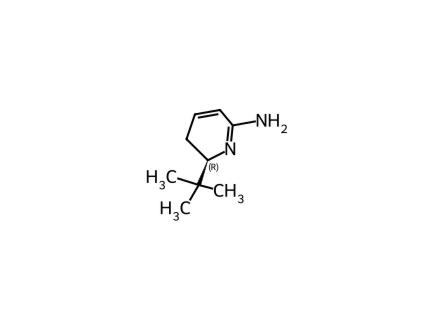 CC(C)(C)[C@H]1CC=CC(N)=N1